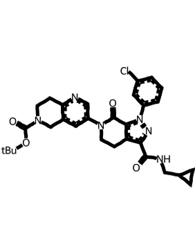 CC(C)(C)OC(=O)N1CCc2ncc(N3CCc4c(C(=O)NCC5CC5)nn(-c5cccc(Cl)c5)c4C3=O)cc2C1